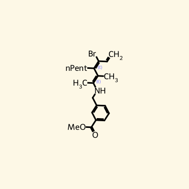 C=C/C(Br)=C(CCCCC)\C(C)=C(/C)NCc1cccc(C(=O)OC)c1